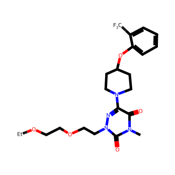 CCOCCOCCn1nc(N2CCC(Oc3ccccc3C(F)(F)F)CC2)c(=O)n(C)c1=O